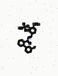 COc1ccc(/C=C/C(=O)c2ccccc2-c2cccc(F)c2)cc1OP(=O)(O)O